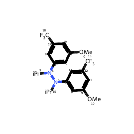 COc1cc(N(C(C)C)N(c2cc(OC)cc(C(F)(F)F)c2)C(C)C)cc(C(F)(F)F)c1